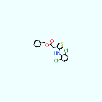 O=C(Cc1cscc1Nc1c(Cl)cccc1Cl)OCc1ccccc1